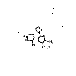 CCc1[nH]c(=O)ccc1-c1cc(C(=O)O)c(N)nc1-c1ccco1